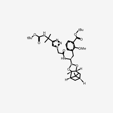 COc1c(C[C@H](NC(=O)Cn2cc(C(C)(C)NC(=O)OC(C)(C)C)nn2)B2O[C@@H]3C[C@@H]4C[C@@H](C4(C)C)[C@]3(C)O2)cccc1C(=O)OC(C)(C)C